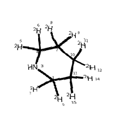 [2H]C1([2H])NC([2H])([2H])C([2H])([2H])C([2H])([2H])C1([2H])[2H]